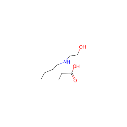 CCC(=O)O.CCCCNCCO